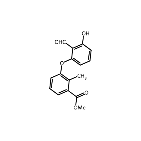 COC(=O)c1cccc(Oc2cccc(O)c2C=O)c1C